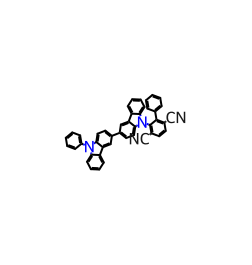 N#Cc1ccc(C#N)c(-n2c3ccccc3c3cc(-c4ccc5c(c4)c4ccccc4n5-c4ccccc4)ccc32)c1-c1ccccc1